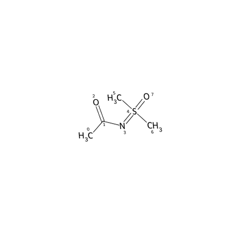 CC(=O)N=S(C)(C)=O